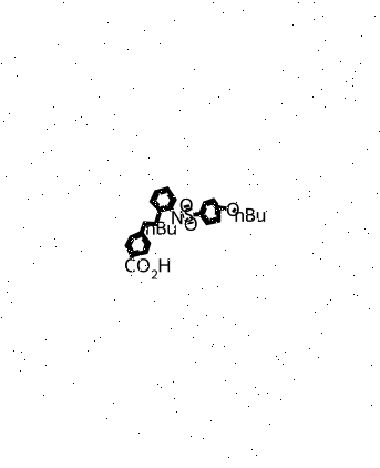 CCCCOc1ccc(S(=O)(=O)N(CCCC)c2ccccc2CCc2ccc(C(=O)O)cc2)cc1